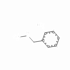 Br.O=[N+]([O-])PCc1ccccc1